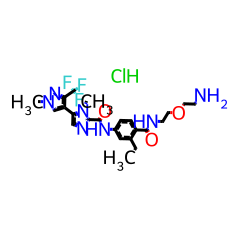 CCc1cc(NC(=O)c2ncc(-c3cn(C)nc3C(F)(F)F)n2C)ccc1C(=O)NCCOCCN.Cl